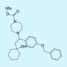 CCCCOC(=O)N1CCN(C(CC2(O)CCCCC2)c2ccc(OCc3ccccc3)cc2)CC1